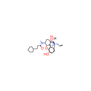 C=CCN1CC[C@]23c4c5ccc(O)c4OC2C(N(C)C(=O)CCC2CCCCC2)CC[C@@]3(O)[C@H]1C5